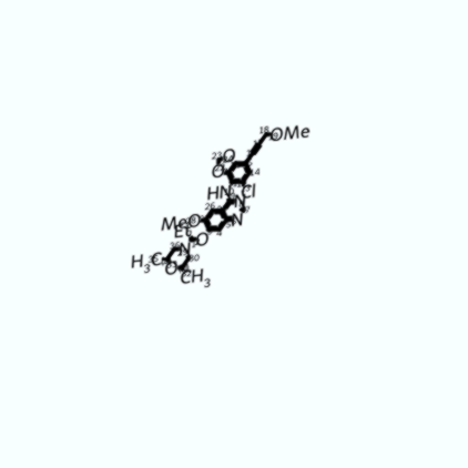 CCC(Oc1cc2ncnc(Nc3c(Cl)cc(C#CCOC)c4c3OCO4)c2cc1OC)N1C[C@@H](C)O[C@@H](C)C1